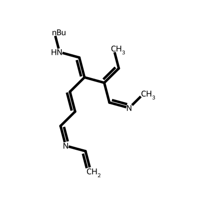 C=C\N=C/C=C/C(=C\NCCCC)C(/C=N\C)=C\C